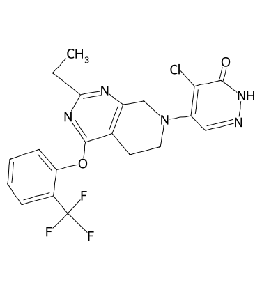 CCc1nc2c(c(Oc3ccccc3C(F)(F)F)n1)CCN(c1cn[nH]c(=O)c1Cl)C2